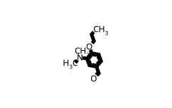 CCCOc1ccc(C=O)cc1N(C)C